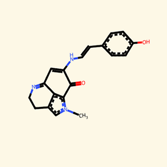 Cn1cc2c3c1C(=O)C(NC=Cc1ccc(O)cc1)=CC3=NCC2